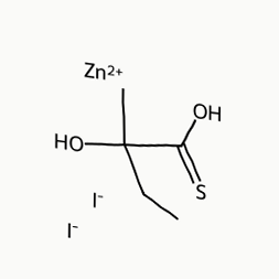 CCC(C)(O)C(O)=S.[I-].[I-].[Zn+2]